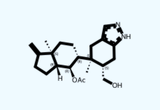 C=C1CC[C@H]2[C@H](OC(C)=O)[C@@H]([C@@]3(C)Cc4cn[nH]c4C[C@@H]3CO)CC[C@]12C